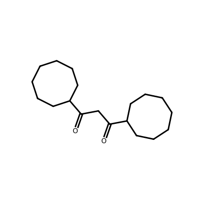 O=C(CC(=O)C1CCCCCCC1)C1CCCCCCC1